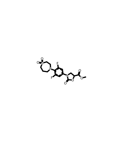 COC(=O)C1CN(c2cc(F)c(N3CCCS(=O)(=O)CC3)c(F)c2)C(=O)O1